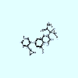 NC(=O)C1(c2cc3cc(-c4cnccc4C4CC4)cc(Cl)c3nn2)CC1F